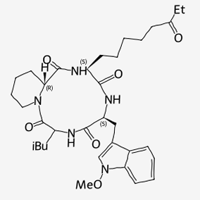 CCC(=O)CCCCC[C@@H]1NC(=O)[C@H]2CCCCN2C(=O)C(C(C)CC)NC(=O)[C@H](Cc2cn(OC)c3ccccc23)NC1=O